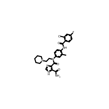 Cc1cc(N(CCN2CCCCC2)C(=O)c2nc[nH]c2C(N)=O)ccc1NC(=O)c1ccc(F)cc1Cl